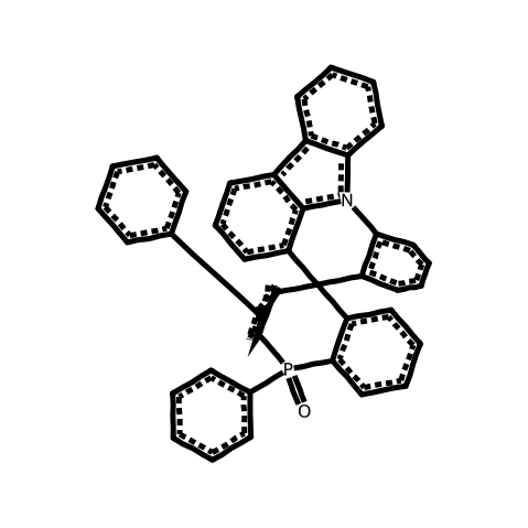 O=P1(c2ccccc2)c2ccccc2C2(c3ccccc3-n3c4ccccc4c4cccc2c43)c2cc(-c3ccccc3)ccc21